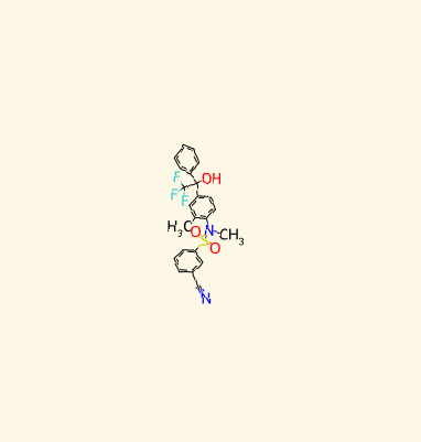 Cc1cc(C(O)(c2ccccc2)C(F)(F)F)ccc1N(C)S(=O)(=O)c1cccc(C#N)c1